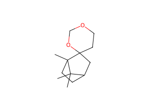 CC1(C)C2CCC1(C)C1(CCOCO1)C2